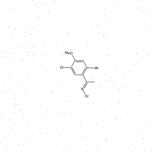 CC/N=C(\C)c1cc(Cl)c(OC)cc1C(C)C